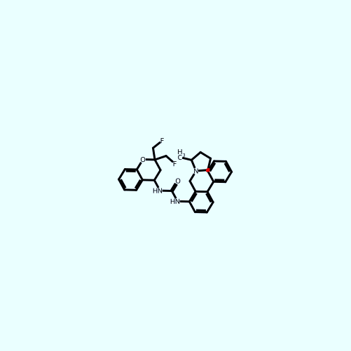 CC1CCCN1Cc1c(NC(=O)NC2CC(CF)(CF)Oc3ccccc32)cccc1-c1ccccc1